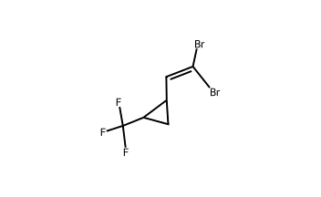 FC(F)(F)C1CC1C=C(Br)Br